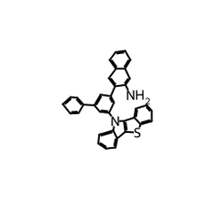 Nc1cc2ccccc2cc1-c1cc(-c2ccccc2)cc(-n2c3ccccc3c3sc4ccccc4c32)c1